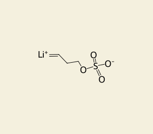 C=CCCOS(=O)(=O)[O-].[Li+]